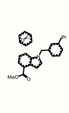 COC(=O)c1cccc2c1ccn2Cc1cccc(C(C)C)c1.c1cc2ccc1CO2